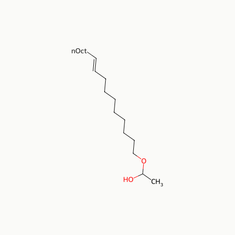 CCCCCCCCC=CCCCCCCCCOC(C)O